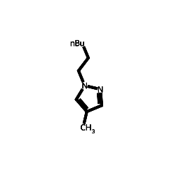 CCCCCCn1cc(C)cn1